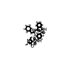 Cc1nn(C)c(Cl)c1S(=O)(=O)Nc1ccc(S(=O)(=O)Nc2ccccc2CN[C@@H](C)CC2CCCCC2)cc1